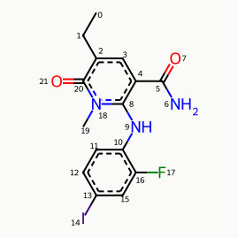 CCc1cc(C(N)=O)c(Nc2ccc(I)cc2F)n(C)c1=O